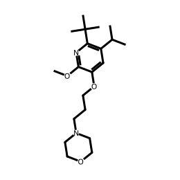 COc1nc(C(C)(C)C)c(C(C)C)cc1OCCCN1CCOCC1